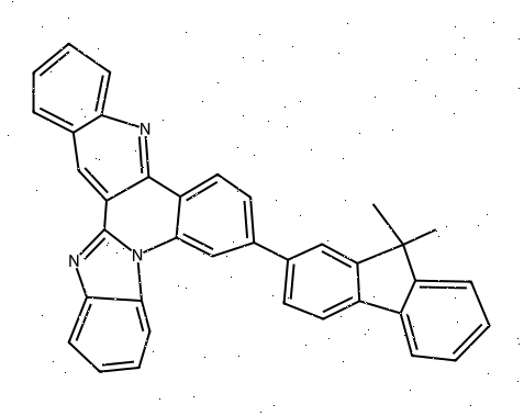 CC1(C)c2ccccc2-c2ccc(-c3ccc4c5nc6ccccc6cc5c5nc6ccccc6n5c4c3)cc21